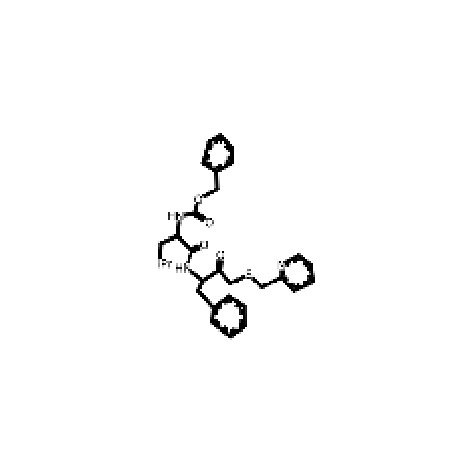 CC(C)CC(NC(=O)OCc1ccccc1)C(=O)NC(Cc1ccccc1)C(=O)CSCc1ccccn1